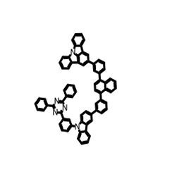 c1ccc(-c2nc(-c3ccccc3)nc(-c3cccc(-n4c5ccccc5c5cc(-c6cccc(-c7ccc(-c8cccc(-c9cc%10c%11ccccc%11n%11c%12ccccc%12c(c9)c%10%11)c8)c8ccccc78)c6)ccc54)c3)n2)cc1